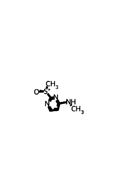 CNc1ccnc([S+](C)[O-])n1